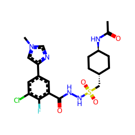 CC(=O)N[C@H]1CC[C@H](CS(=O)(=O)NNC(=O)c2cc(-c3cn(C)cn3)cc(Cl)c2F)CC1